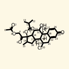 CC(=O)OCC(=O)[C@@]1(OC(=O)C(C)C)C(C)C[C@H]2[C@@H]3C(Cl)CC4=CC(=O)C=C[C@]4(C)[C@H]3C(O)C[C@@]21C